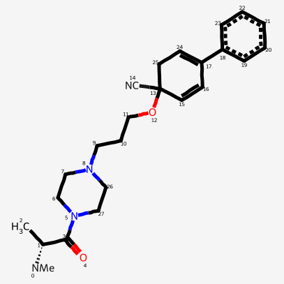 CN[C@H](C)C(=O)N1CCN(CCCOC2(C#N)C=CC(c3ccccc3)=CC2)CC1